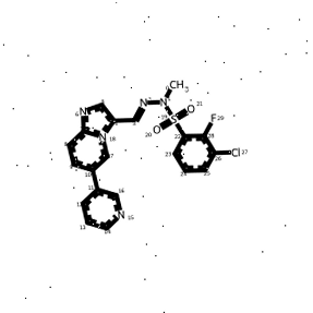 CN(N=Cc1cnc2ccc(-c3cccnc3)cn12)S(=O)(=O)c1cccc(Cl)c1F